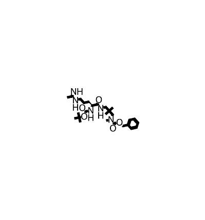 CC(=N)NCCC[C@H](NC(=O)OC(C)(C)C)C(=O)NCC(C)(C)CN(C)C(=O)OCc1ccccc1